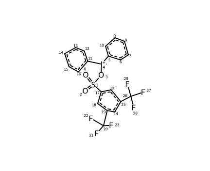 O=S(=O)(O[I+](c1ccccc1)c1ccccc1)c1cc(C(F)(F)F)cc(C(F)(F)F)c1